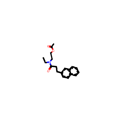 CCN(CCOC(C)=O)C(=O)CCc1ccc2ccccc2c1